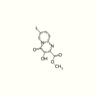 COC(=O)c1nc2ccc(I)cn2c(=O)c1O